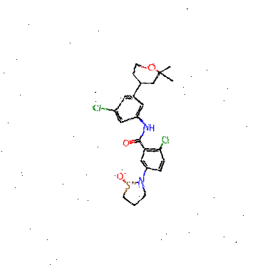 CC1(C)CC(c2cc(Cl)cc(NC(=O)c3cc(N4CCC[S+]4[O-])ccc3Cl)c2)CCO1